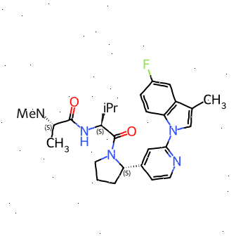 CN[C@@H](C)C(=O)N[C@H](C(=O)N1CCC[C@H]1c1ccnc(-n2cc(C)c3cc(F)ccc32)c1)C(C)C